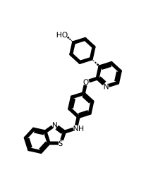 O[C@H]1CC[C@@H](c2cccnc2Oc2ccc(Nc3nc4ccccc4s3)cc2)CC1